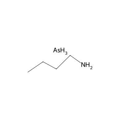 CCCCN.[AsH3]